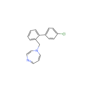 Clc1ccc(-c2ccccc2CN2C=CC=NC=C2)cc1